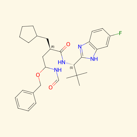 CC(C)(C)[C@H](NC(=O)[C@H](CC1CCCC1)CC(NC=O)OCc1ccccc1)c1nc2ccc(F)cc2[nH]1